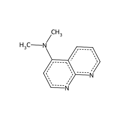 CN(C)c1ccnc2ncccc12